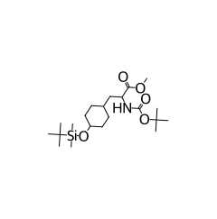 COC(=O)C(CC1CCC(O[Si](C)(C)C(C)(C)C)CC1)NC(=O)OC(C)(C)C